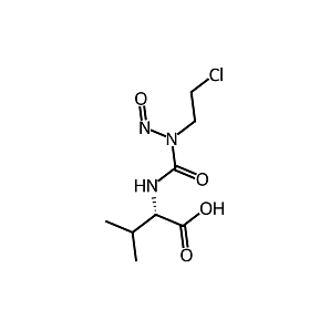 CC(C)[C@H](NC(=O)N(CCCl)N=O)C(=O)O